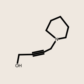 OCC#CCN1CCCCC1